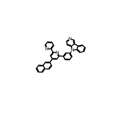 c1ccc(-c2cc(-c3ccc4ccccc4c3)cc(-c3cccc(-n4c5ccccc5c5cnccc54)c3)n2)nc1